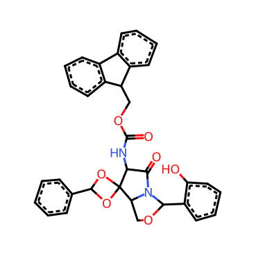 O=C(NC1C(=O)N2C(c3ccccc3O)OCC2C12OC(c1ccccc1)O2)OCC1c2ccccc2-c2ccccc21